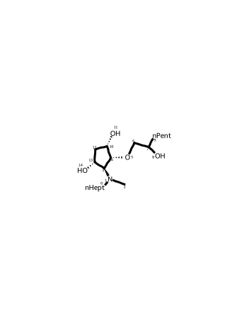 CCCCCCCN(C)[C@@H]1[C@@H](OCC(O)CCCCC)[C@@H](O)C[C@H]1O